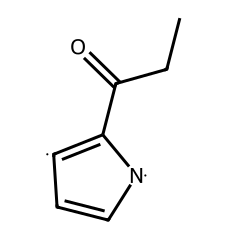 CCC(=O)C1=[C]C=C[N]1